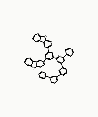 c1ccc(-c2cccc(-c3cccc(-c4cc(-c5ccccc5)nc(-c5cc(-c6ccc7oc8ccccc8c7c6)cc(-c6ccc7oc8ccccc8c7c6)c5)n4)c3)c2)cc1